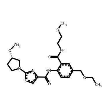 CCOCc1ccc(NC(=O)c2csc(N3CC[C@H](OC)C3)n2)c(C(=O)NCCOC)c1